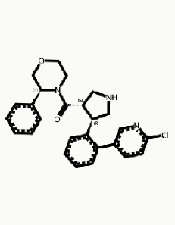 O=C([C@@H]1CNC[C@H]1c1ccccc1-c1ccc(Cl)nc1)N1CCOC[C@@H]1c1ccccc1